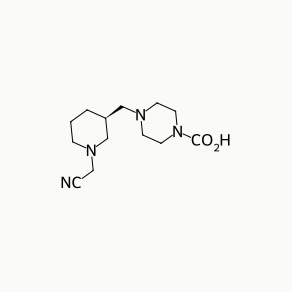 N#CCN1CCC[C@@H](CN2CCN(C(=O)O)CC2)C1